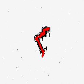 CCCCCCSC1CC(=O)N(CCC(=O)NCCOCCOCCOCCOCCC(=O)NC(C(=O)NC(C)C(=O)Nc2ccc(COC(=O)N(c3cc(OC(C)Oc4cc5c(cc4OC)C(=O)N4c6ccccc6C[C@H]4C=N5)c(OC)cc3C(=O)NC)C(C)CC)cc2)C(C)C)C1=O